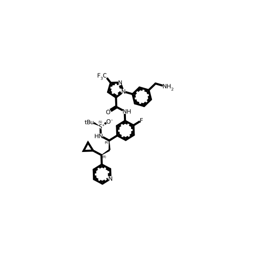 CC(C)(C)[S@@+]([O-])N[C@H](C[C@@H](c1cccnc1)C1CC1)c1ccc(F)c(NC(=O)c2cc(C(F)(F)F)nn2-c2cccc(CN)c2)c1